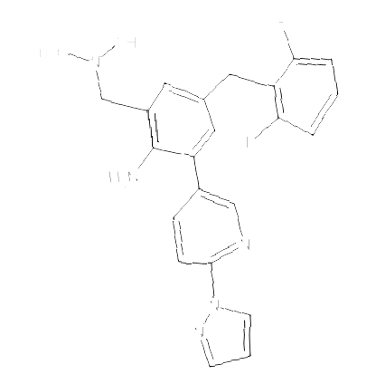 CN(C)Cc1[c]c(Cc2c(F)cccc2F)cc(-c2ccc(-n3cccn3)nc2)c1N